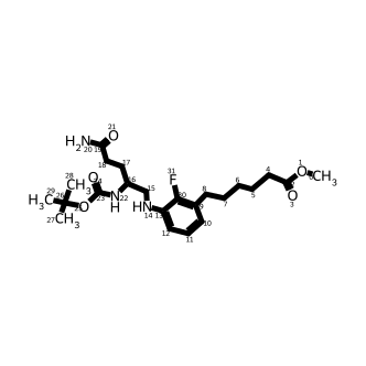 COC(=O)CCCCCc1cccc(NCC(CCC(N)=O)NC(=O)OC(C)(C)C)c1F